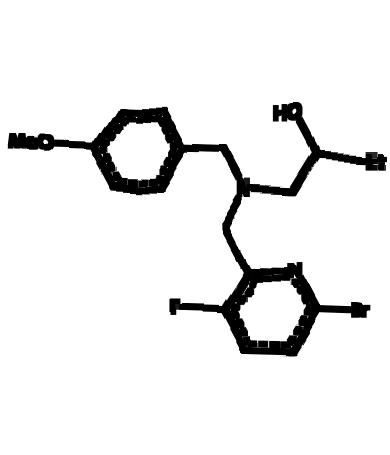 CCC(O)CN(Cc1ccc(OC)cc1)Cc1nc(Br)ccc1F